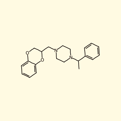 CC(c1ccccc1)N1CCN(CC2COc3ccccc3O2)CC1